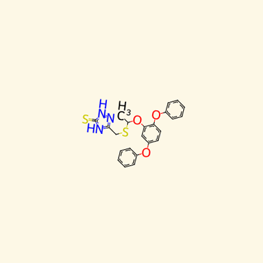 CC(Oc1cc(Oc2ccccc2)ccc1Oc1ccccc1)SCc1n[nH]c(=S)[nH]1